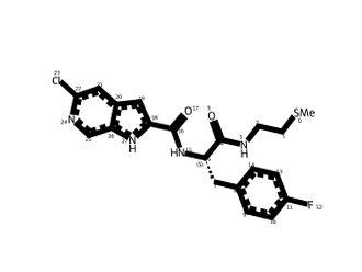 CSCCNC(=O)[C@H](Cc1ccc(F)cc1)NC(=O)c1cc2cc(Cl)ncc2[nH]1